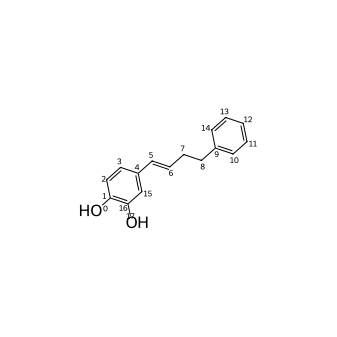 Oc1ccc(/C=C/CCc2ccccc2)cc1O